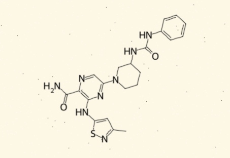 Cc1cc(Nc2nc(N3CCCC(NC(=O)Nc4ccccc4)C3)cnc2C(N)=O)sn1